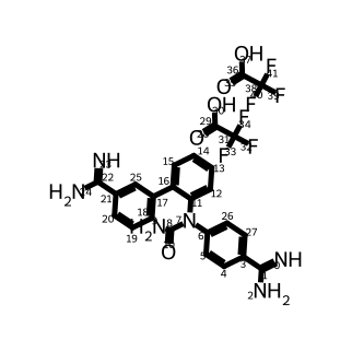 N=C(N)c1ccc(N(C(N)=O)c2ccccc2-c2cccc(C(=N)N)c2)cc1.O=C(O)C(F)(F)F.O=C(O)C(F)(F)F